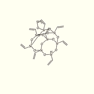 C=C[SiH]1O[Si]2(C=C)O[Si]3(C=C)O[Si](C=C)(O[SiH3])O[Si]4(C=C)O[Si](C=C)(O1)O[Si](C=C)(O2)O[Si](C=C)(O3)O4